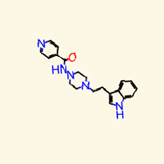 O=C(NN1CCN(CCc2c[nH]c3ccccc23)CC1)c1ccncc1